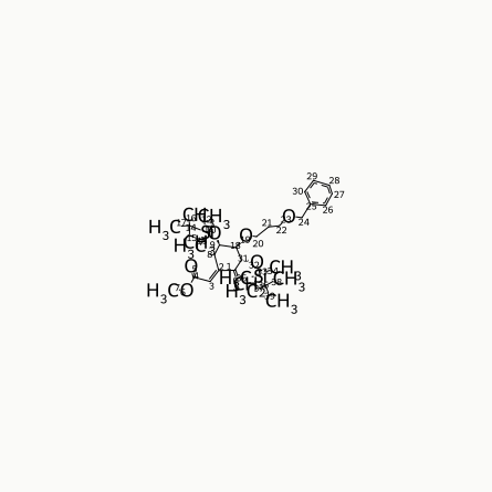 C=C1/C(=C/C(=O)OC)C[C@@H](O[Si](C)(C)C(C)(C)C)[C@@H](OCCCOCc2ccccc2)[C@@H]1O[Si](C)(C)C(C)(C)C